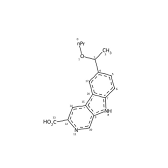 CCCOC(C)c1ccc2[nH]c3cnc(C(=O)O)cc3c2c1